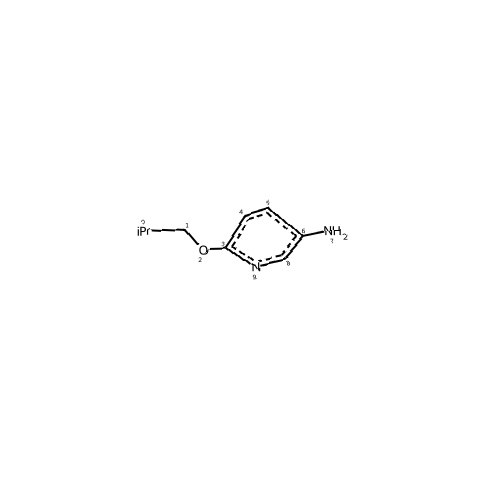 CC(C)COc1ccc(N)cn1